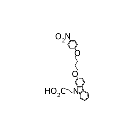 O=C(O)CCn1c2ccccc2c2ccc(OCCCCOc3ccc([N+](=O)[O-])cc3)cc21